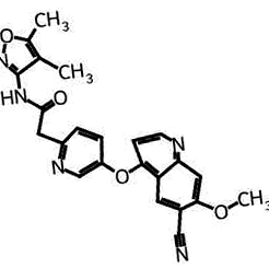 COc1cc2nccc(Oc3ccc(CC(=O)Nc4noc(C)c4C)nc3)c2cc1C#N